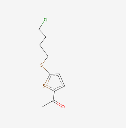 CC(=O)c1ccc(SCCCCCl)s1